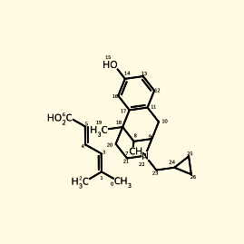 CC(C)=CC=CC(=O)O.CC1C2Cc3ccc(O)cc3C1(C)CCN2CC1CC1